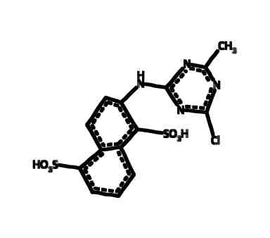 Cc1nc(Cl)nc(Nc2ccc3c(S(=O)(=O)O)cccc3c2S(=O)(=O)O)n1